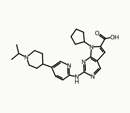 CC(C)N1CCC(c2ccc(Nc3ncc4cc(C(=O)O)n(C5CCCC5)c4n3)nc2)CC1